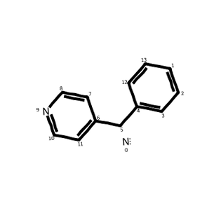 [N].c1ccc(Cc2ccncc2)cc1